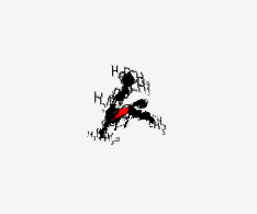 CC(C)c1ccc(CCC(NS(=O)(=O)c2cc(C(N)=NC(=O)OCOC(=O)C(C)(C)C)ccc2OC(=O)OCOC(=O)C(C)(C)C)C(=O)N2CCOCC2)cc1